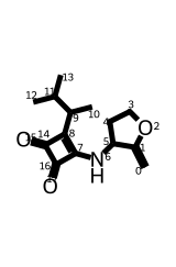 C=C1OCCC1Nc1c(C(C)C(C)C)c(=O)c1=O